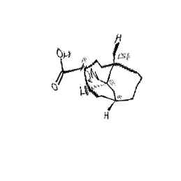 N[C@@H]1[C@@H]2CC[C@H]1C[C@H](C(=O)O)C2